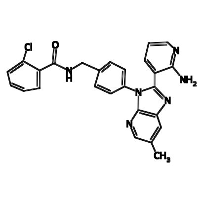 Cc1cnc2c(c1)nc(-c1cccnc1N)n2-c1ccc(CNC(=O)c2ccccc2Cl)cc1